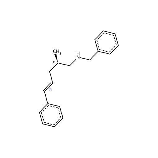 C[C@H](C/C=C/c1ccccc1)CNCc1ccccc1